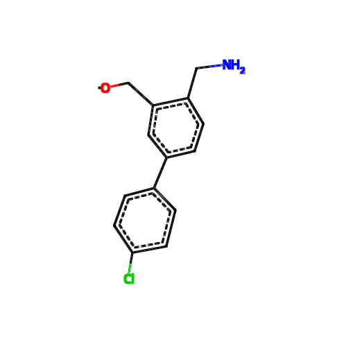 NCc1ccc(-c2ccc(Cl)cc2)cc1C[O]